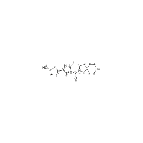 Cc1nc(N2CC[C@H](O)C2)sc1C(=O)N1CCC2(CCOCC2)C1